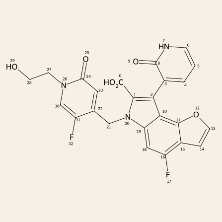 O=C(O)c1c(-c2ccc[nH]c2=O)c2c3occc3c(F)cc2n1Cc1cc(=O)n(CCO)cc1F